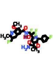 COc1cc(C(=O)NC[C@](O)(c2cc3c(c(-c4ccc(F)cc4)n2)OC[C@]3(C)C(N)=O)C(F)(F)F)cc2cc(CF)c(C)nc12